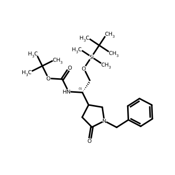 CC(C)(C)OC(=O)N[C@H](CO[Si](C)(C)C(C)(C)C)C1CC(=O)N(Cc2ccccc2)C1